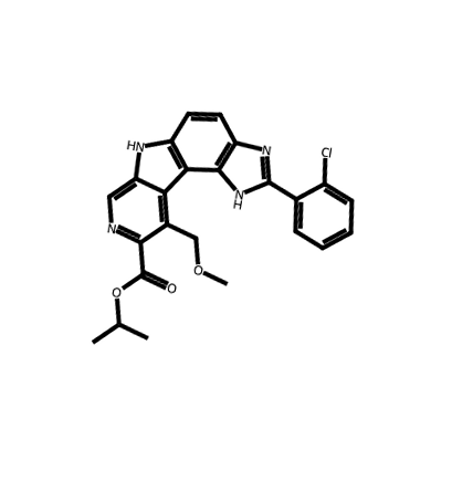 COCc1c(C(=O)OC(C)C)ncc2[nH]c3ccc4nc(-c5ccccc5Cl)[nH]c4c3c12